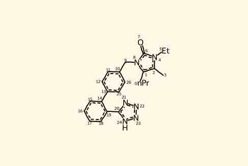 CCCc1c(C)n(CC)c(=O)n1Cc1ccc(-c2ccccc2-c2nnn[nH]2)cc1